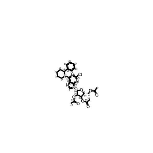 CC(=O)OC[C@H]1O[C@@H](n2cnc3c(N4CCCCC4c4ccccc4)nc(Cl)nc32)C(OC(C)=O)C1OC(C)=O